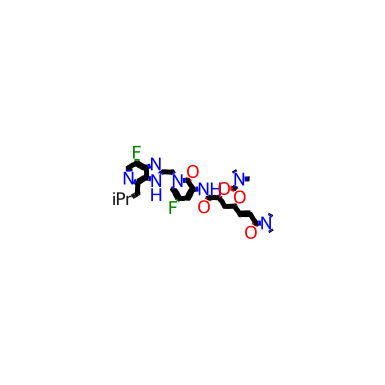 CC(C)Cc1ncc(F)c2nc(Cn3cc(F)cc(NC(=O)C(CCC=CC(=O)N(C)C)OC(=O)N(C)C)c3=O)[nH]c12